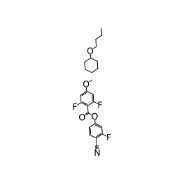 CCCCO[C@H]1CC[C@H](COc2cc(F)c(C(=O)Oc3ccc(C#N)c(F)c3)c(F)c2)CC1